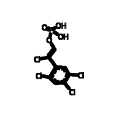 O=P(O)(O)OC=C(Cl)c1cc(Cl)c(Cl)cc1Cl